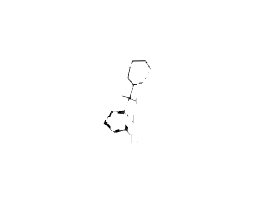 FC(F)(c1cccc(Br)n1)C1CCCCC1